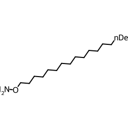 CCCCCCCCCCCCCCCCCCCCCCCCON